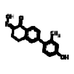 Cc1cc(O)ccc1-c1ccc2c(c1)CC/C(=N/O)C2=O